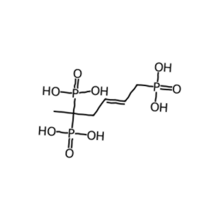 CC(C/C=C/CP(=O)(O)O)(P(=O)(O)O)P(=O)(O)O